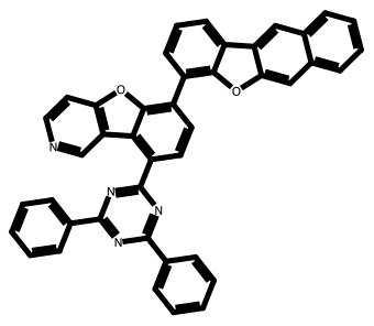 c1ccc(-c2nc(-c3ccccc3)nc(-c3ccc(-c4cccc5c4oc4cc6ccccc6cc45)c4oc5ccncc5c34)n2)cc1